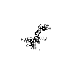 CC(C)(O/N=C(\C(=O)N[C@@H]1C(=O)N2C(C(=O)O)=C(C[N+]34CCCC3CN(C(=O)c3ccc(O)c(O)c3Cl)CC4)CS[C@H]12)c1nc(N)sc1Cl)C(=O)O